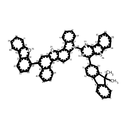 CC1(C)c2ccccc2-c2ccc(-c3nc(-n4c5ccccc5c5c6oc7cc(-c8cccc9c8oc8ccccc89)c8ccccc8c7c6ccc54)nc4c3sc3ccccc34)cc21